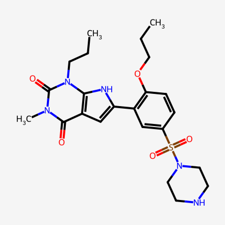 CCCOc1ccc(S(=O)(=O)N2CCNCC2)cc1-c1cc2c(=O)n(C)c(=O)n(CCC)c2[nH]1